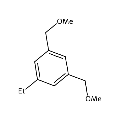 CCc1cc(COC)cc(COC)c1